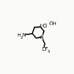 Cl.Cl.NC1CCCN(CC(F)(F)F)C1